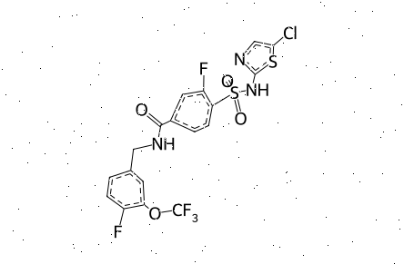 O=C(NCc1ccc(F)c(OC(F)(F)F)c1)c1ccc(S(=O)(=O)Nc2ncc(Cl)s2)c(F)c1